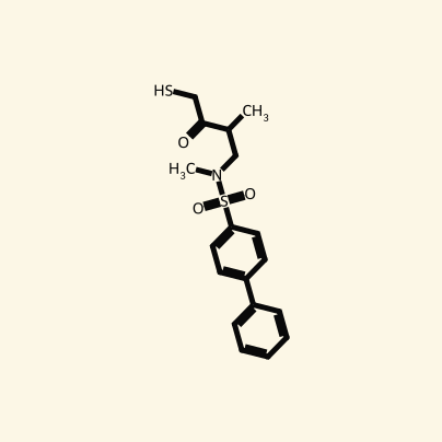 CC(CN(C)S(=O)(=O)c1ccc(-c2ccccc2)cc1)C(=O)CS